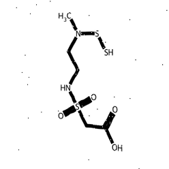 CN(CCNS(=O)(=O)CC(=O)O)SS